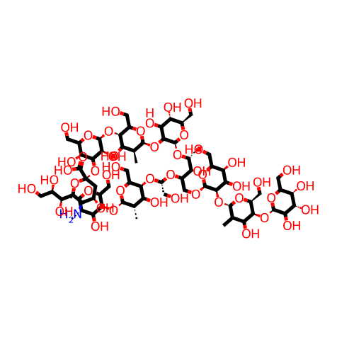 CC1C(O)[C@H](O[C@@H]2OC(CO)[C@H](O)[C@H](O)C2O)[C@H](CO)O[C@H]1O[C@@H]1C(O)[C@H](O)C(CO)O[C@@H]1OCC(O[C@H](CO)O[C@@H]1C(CO)O[C@@H](O[C@@H]2C(CO)O[C@@H](C)[C@@H](C)C2O)[C@@H](C)C1O)[C@@H](O)[C@@H](C)O[C@H]1O[C@H](CO)[C@@H](O)C(O)C1O[C@@H]1OC(CO)[C@@H](O[C@@H]2OC(CO)[C@H](O)C(O[C@]3(C(=O)O)C[C@@H](O)[C@@H](N)C([C@@H](O)[C@H](O)CO)O3)[C@@H]2O)C(O)[C@@H]1C